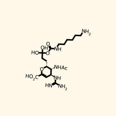 CC(=O)N[C@@H]1[C@@H](NC(=N)N)C=C(C(=O)O)O[C@@H]1CCC(O)(O)OC(=O)NCCCCCCN